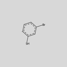 Sc1[c]ccc(Br)c1